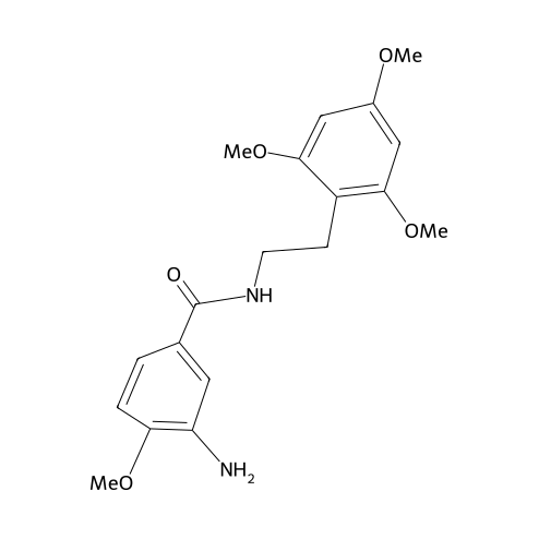 COc1cc(OC)c(CCNC(=O)c2ccc(OC)c(N)c2)c(OC)c1